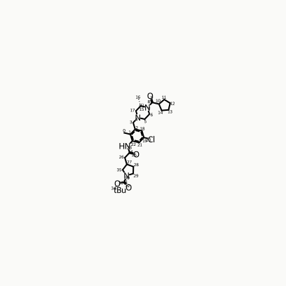 Cc1c(CN2CCN(C(=O)C3CCCC3)[C@@H](C)C2)cc(Cl)cc1NC(=O)CC1CCN(C(=O)OC(C)(C)C)C1